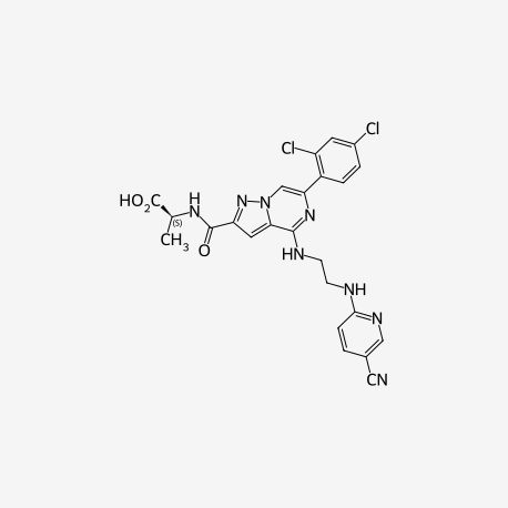 C[C@H](NC(=O)c1cc2c(NCCNc3ccc(C#N)cn3)nc(-c3ccc(Cl)cc3Cl)cn2n1)C(=O)O